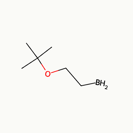 BCCOC(C)(C)C